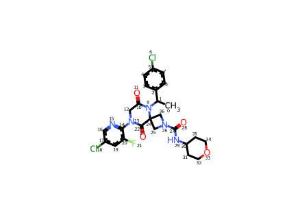 CC(c1ccc(Cl)cc1)N1C(=O)CN(c2ncc(Cl)cc2F)C(=O)C12CN(C(=O)NC1CCOCC1)C2